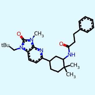 Cn1c(=O)n(CC(C)(C)C)c2ccc(C3CCC(C)(C)C(NC(=O)CCc4ccccc4)C3)nc21